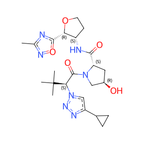 Cc1noc([C@@H]2OCC[C@@H]2NC(=O)[C@@H]2C[C@@H](O)CN2C(=O)[C@@H](n2cc(C3CC3)nn2)C(C)(C)C)n1